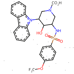 O=C(O)N1CC(NS(=O)(=O)c2ccc(OC(F)(F)F)cc2)C(O)C(n2c3ccccc3c3ccccc32)C1